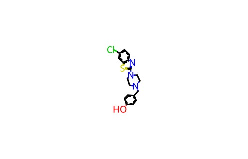 Oc1ccc(CN2CCN(c3nc4ccc(Cl)cc4s3)CC2)cc1